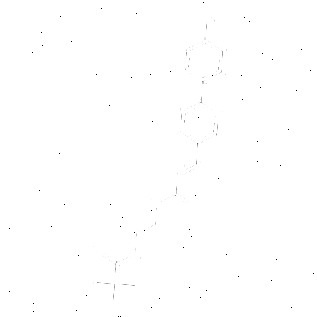 CCC(C)(C)C(=O)OCCOC(=O)/C=C/c1ccc(-c2ccc(C#N)cc2)cc1